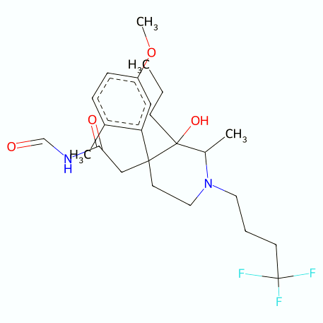 CCCC1(O)C(C)N(CCCC(F)(F)F)CCC1(CC(=O)NC=O)c1cc(OC)ccc1C